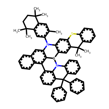 Cc1cc2c(cc1N1c3cc4c(cc3B3c5c1cc1ccccc1c5-c1cccc5c1N3c1ccccc1C5(c1ccccc1)c1ccccc1)C(C)(C)c1ccccc1S4)C(C)(C)CCC2(C)C